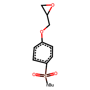 CCCCS(=O)(=O)c1ccc(OCC2CO2)cc1